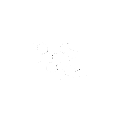 COc1ccc(C(=O)c2ccccc2O[C@]2(c3c[nH]c4ccccc34)O[C@](Br)(CO)[C@@](O)(Cl)[C@H](O)[C@H]2O)c(OC)c1